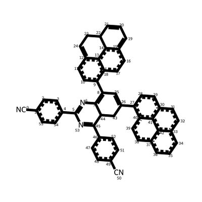 N#Cc1ccc(C2=NC3=C(c4ccc5c6c7c(ccc46)=CC=CC7CC=5)C=C(c4ccc5ccc6cccc7ccc4c5c67)CC3C(c3ccc(C#N)cc3)=N2)cc1